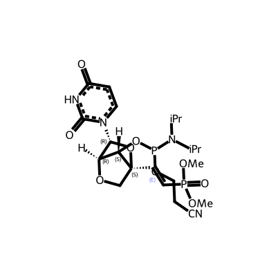 COP(=O)(/C=C/[C@@]12CO[C@@H]([C@H](n3ccc(=O)[nH]c3=O)O1)[C@@H]2OP(OCCC#N)N(C(C)C)C(C)C)OC